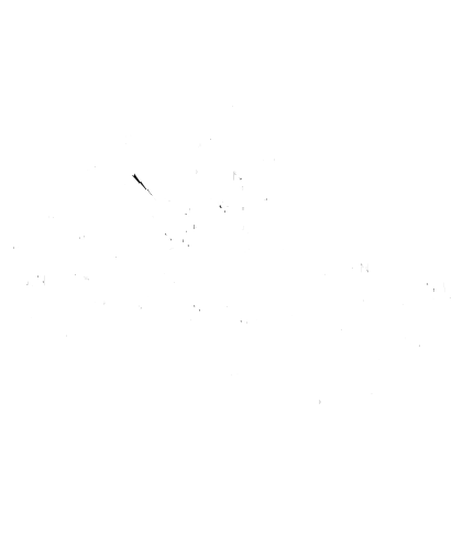 N#Cc1c(N)sc2c(F)ccc(-c3c(Cl)c(F)c4c(N5CC6CCC(C5)N6C(=O)[C@@H]5N[C@H]5C5CC5)nc(OCC56CCCN5CCC6)nc4c3F)c12